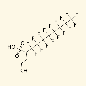 CCCC(C(F)(F)C(F)(F)C(F)(F)C(F)(F)C(F)(F)C(F)(F)C(F)(F)C(F)(F)F)S(=O)(=O)O